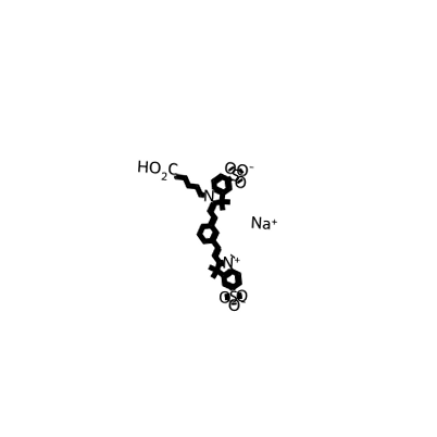 C[N+]1=C(/C=C/C2=CC(=C/C=C3/N(CCCCCC(=O)O)c4ccc(S(=O)(=O)[O-])cc4C3(C)C)/CCC2)C(C)(C)c2cc(S(=O)(=O)[O-])ccc21.[Na+]